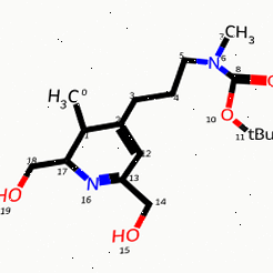 CC1C(CCCN(C)C(=O)OC(C)(C)C)=CC(CO)=NC1CO